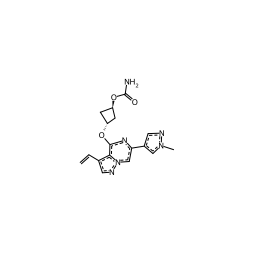 C=Cc1cnn2cc(-c3cnn(C)c3)nc(O[C@H]3C[C@H](OC(N)=O)C3)c12